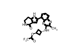 Cc1nc2cccc(-c3cc4c([nH]3)CCNC4=O)c2nc1N[C@H]1C[C@H](OC(=O)C(F)(F)F)C1